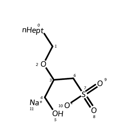 CCCCCCCCOC(CO)CS(=O)(=O)[O-].[Na+]